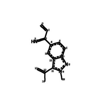 C=CC(=N)c1ccc2nn(C)c(C(=C)C)c2c1